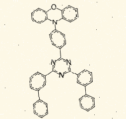 c1ccc(-c2cccc(-c3nc(-c4ccc(N5c6ccccc6Oc6ccccc65)cc4)nc(-c4cccc(-c5ccccc5)c4)n3)c2)cc1